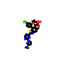 Cc1cc2nc(-c3ccnc(N4CC[C@H](N(C)C)C4)n3)sc2c(-c2ccc(Cl)cc2)c1[C@H](OC(C)(C)C)C(=O)O